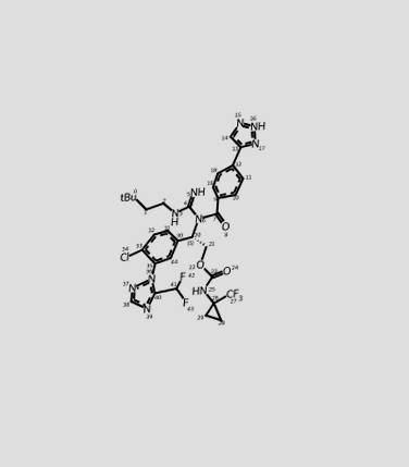 CC(C)(C)CCNC(=N)N(C(=O)c1ccc(-c2cn[nH]n2)cc1)[C@H](COC(=O)NC1(C(F)(F)F)CC1)c1ccc(Cl)c(-n2ncnc2C(F)F)c1